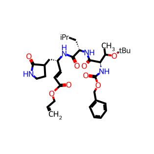 C=CCOC(=O)/C=C/[C@H](CC1CCNC1=O)NC(=O)[C@H](CC(C)C)NC(=O)[C@@H](NC(=O)OCc1ccccc1)C(C)OC(C)(C)C